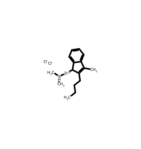 CCCCC1=C(C)c2ccccc2[CH]1[Zr+2][SiH](C)C.[Cl-].[Cl-]